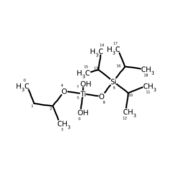 CCC(C)[O][Ti]([OH])([OH])[O][Si](C(C)C)(C(C)C)C(C)C